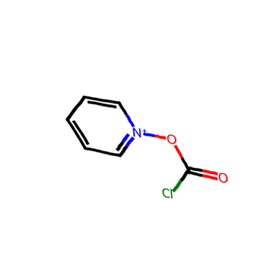 O=C(Cl)O[n+]1ccccc1